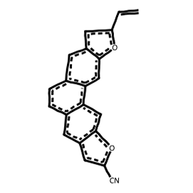 C=Cc1cc2cc3ccc4cc5cc(C#N)oc5cc4c3cc2o1